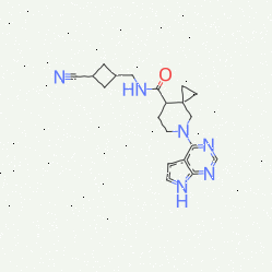 N#CC1CC(CNC(=O)C2CCN(c3ncnc4[nH]ccc34)CC23CC3)C1